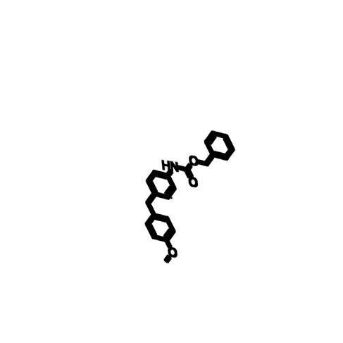 COc1ccc(Cc2[c]cc(NC(=O)OCc3ccccc3)cc2)cc1